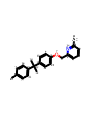 CC(=O)c1cccc(COc2ccc(C(C)(C)c3ccc(C)cc3)cc2)n1